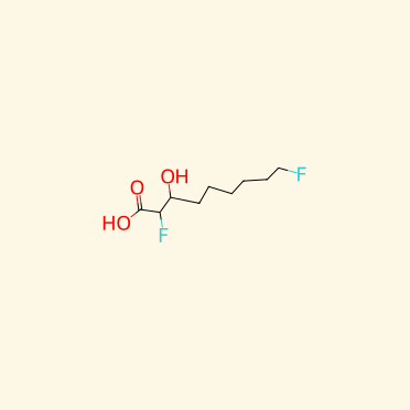 O=C(O)C(F)C(O)CCCCCCF